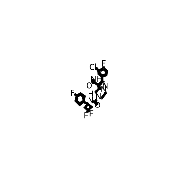 NC(=O)c1c(-c2ccc(F)c(Cl)c2)nn2c1CN(C(=O)NC1(c3ccc(F)cc3)CC(F)(F)C1)CC2